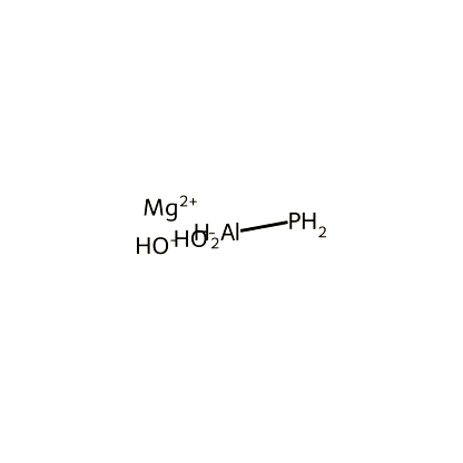 [AlH2][PH2].[Mg+2].[OH-].[OH-]